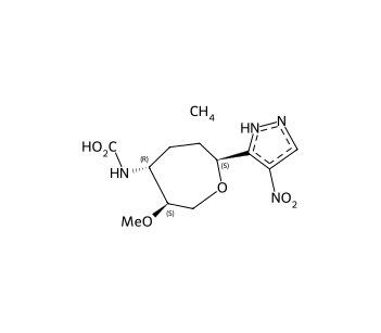 C.CO[C@@H]1CO[C@H](c2[nH]ncc2[N+](=O)[O-])CC[C@H]1NC(=O)O